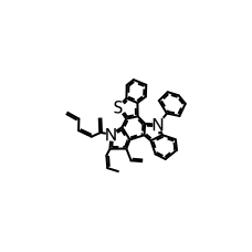 C=C/C=C\C(=C)n1c(/C=C\C)c(C=C)c2c3c4ccccc4n(-c4ccccc4)c3c3c4ccccc4sc3c21